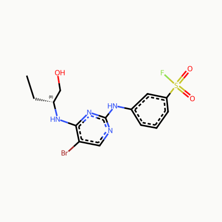 CC[C@H](CO)Nc1nc(Nc2cccc(S(=O)(=O)F)c2)ncc1Br